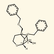 O[C@@H]1O[C@@]2(COCc3ccccc3)CCO[C@@H]1[C@@H]2OCc1ccccc1